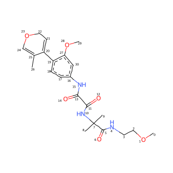 COCCNC(=O)C(C)(C)NC(=O)C(=O)Nc1ccc(C2=CCOC=C2C)c(OC)c1